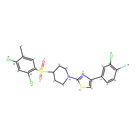 Cc1cc(S(=O)(=O)C2CCN(c3nc(-c4ccc(F)c(Cl)c4)cs3)CC2)c(Cl)cc1Cl